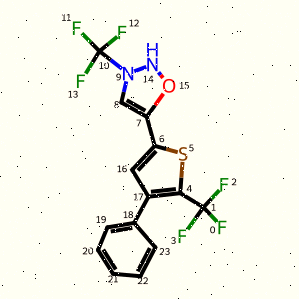 FC(F)(F)c1sc(C2=CN(C(F)(F)F)NO2)cc1-c1ccccc1